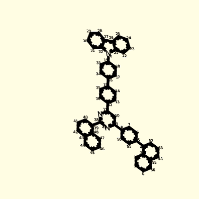 c1ccc2c(-c3ccc(-c4cc(-c5ccc(-c6ccc(-n7c8ccccc8c8ccccc87)cc6)cc5)nc(-c5cccc6ccccc56)n4)cc3)cccc2c1